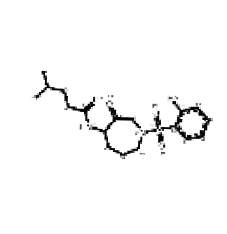 CC(C)CCC(=O)NC1CCCN(S(=O)(=O)c2ccccc2F)CC1=O